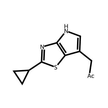 CC(=O)Cc1c[nH]c2nc(C3CC3)sc12